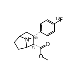 COC(=O)[C@@H]1C2CCC(C[C@@H]1c1ccc([18F])cc1)N2C